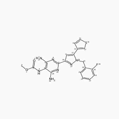 COC(=O)Nc1c(N)nc(-c2cc(-c3ccsc3)n(Cc3ccccc3F)n2)nc1N